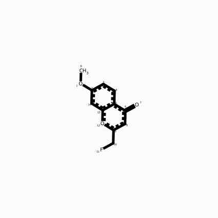 COc1ccc2c(=O)cc(CF)oc2c1